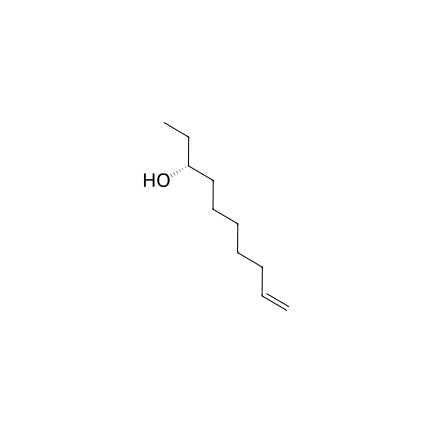 C=CCCCCC[C@H](O)CC